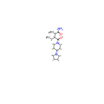 CCCC(C(N)=O)C(CC(C)C)C(=O)N1CCC(N2CCCC2)CC1